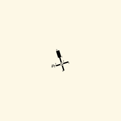 C#C[Si](C)(C)C(C)C